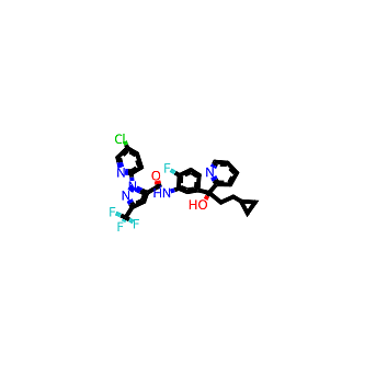 O=C(Nc1cc(C(O)(CCC2CC2)c2ccccn2)ccc1F)c1cc(C(F)(F)F)nn1-c1ccc(Cl)cn1